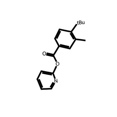 Cc1cc(C(=O)Oc2ccccn2)ccc1C(C)(C)C